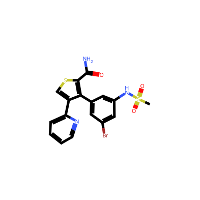 CS(=O)(=O)Nc1cc(Br)cc(-c2c(-c3ccccn3)csc2C(N)=O)c1